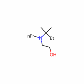 CCCN(CCO)C(C)(C)CC